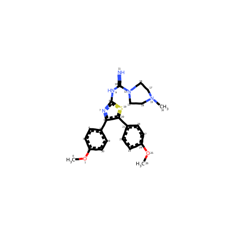 COc1ccc(-c2nc(NC(=N)N3CCN(C)CC3)sc2-c2ccc(OC)cc2)cc1